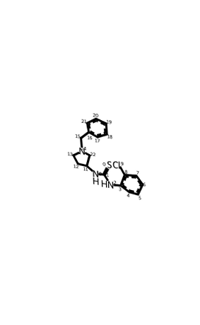 S=C(Nc1ccccc1Cl)NC1CCN(Cc2ccccc2)C1